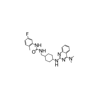 Cc1ccc(F)cc1NC(=O)NCC1CCC(Nc2nc(N(C)C)c3ccccc3n2)CC1